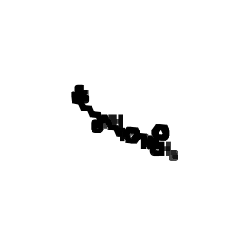 CN(/N=C/c1cc[n+](CCCNC(=O)CCCCC2CCSS2)cc1)c1ccccc1